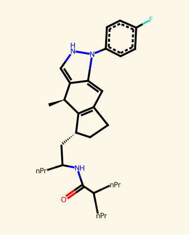 CCCC(C[C@H]1CCC2=C1[C@@H](C)C1=CNN(c3ccc(F)cc3)C1=C2)NC(=O)C(CCC)CCC